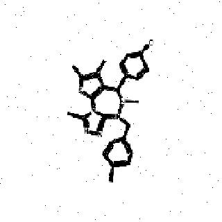 Cc1ccc(CN2c3nnc(C)n3-c3sc(C)c(C)c3C(c3ccc(Cl)cc3)N2C)cc1